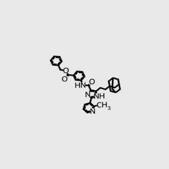 Cc1ncccc1-c1nc(C(=O)Nc2cccc(C(=O)OCc3ccccc3)c2)c(CCC23CC4CC(CC(C4)C2)C3)[nH]1